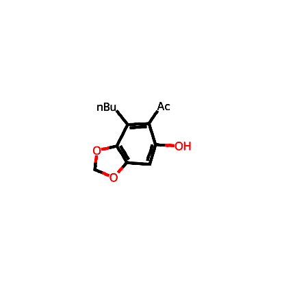 CCCCc1c2c(cc(O)c1C(C)=O)OCO2